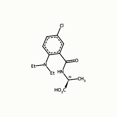 CCN(CC)c1ccc(Cl)cc1C(=O)N[C@@H](C)C(=O)O